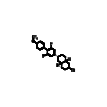 CCC1CC[C@@H]2C[C@H](c3cc(F)c(-c4ccc(OC(F)(F)F)cc4)c(F)c3)CC[C@@H]2C1